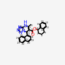 CC1=C(C(=O)OC2CCCc3ccccc32)C(c2cccc3ccccc23)n2nnnc2N1